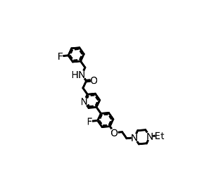 CCN1CCN(CCOc2ccc(-c3ccc(CC(=O)NCc4cccc(F)c4)nc3)c(F)c2)CC1